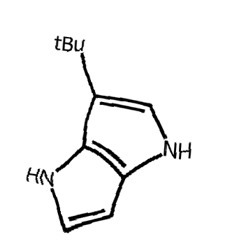 CC(C)(C)c1c[nH]c2cc[nH]c12